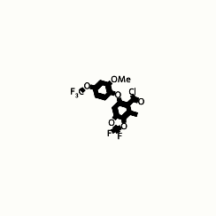 COc1cc(OC(F)(F)F)ccc1Oc1cc2c(c(C)c1C(=O)Cl)OC(F)(F)O2